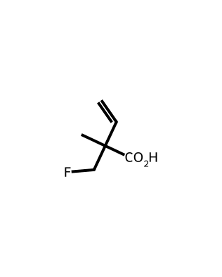 C=CC(C)(CF)C(=O)O